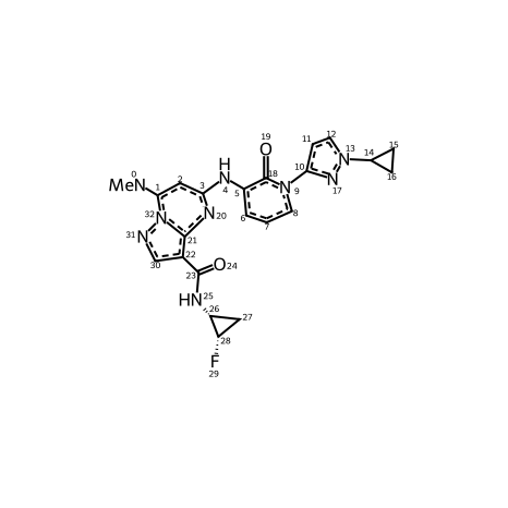 CNc1cc(Nc2cccn(-c3ccn(C4CC4)n3)c2=O)nc2c(C(=O)N[C@@H]3C[C@@H]3F)cnn12